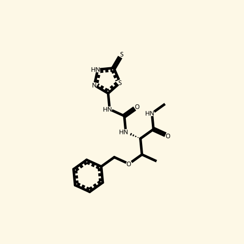 CNC(=O)[C@@H](NC(=O)Nc1n[nH]c(=S)s1)C(C)OCc1ccccc1